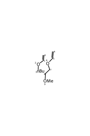 C=COCCCC.C=COCCOC